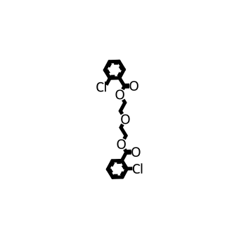 O=C(OCCOCCOC(=O)c1ccccc1Cl)c1ccccc1Cl